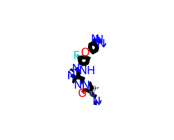 C[C@H]1CN(c2cc3c(Nc4ccc(Oc5ccc6c(c5)nnn6C)c(F)c4)ncnc3cn2)C(=O)/C1=C/CN(C)C